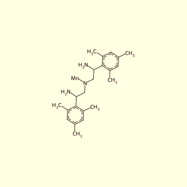 Cc1cc(C)c(C(N)C[N]([Mn])CC(N)c2c(C)cc(C)cc2C)c(C)c1